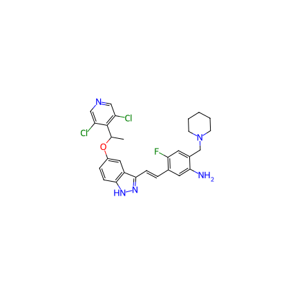 CC(Oc1ccc2[nH]nc(/C=C/c3cc(N)c(CN4CCCCC4)cc3F)c2c1)c1c(Cl)cncc1Cl